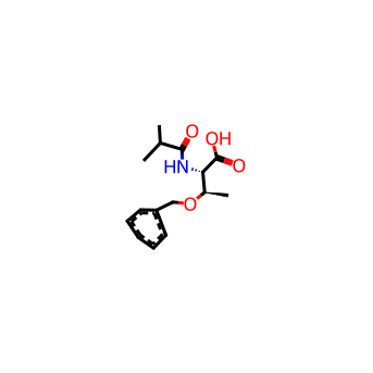 CC(C)C(=O)N[C@H](C(=O)O)[C@@H](C)OCc1ccccc1